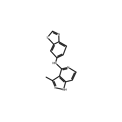 Cc1n[nH]c2ccnc(Nc3ccc4ncsc4c3)c12